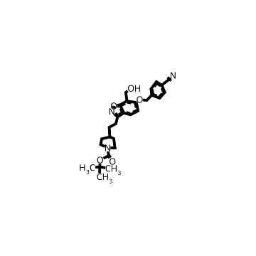 CC(C)(C)OC(=O)N1CCC(CCc2noc3c(CO)c(OCc4ccc(C#N)cc4)ccc23)CC1